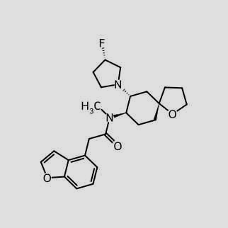 CN(C(=O)Cc1cccc2occc12)[C@@H]1CC[C@]2(CCCO2)C[C@H]1N1CC[C@H](F)C1